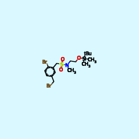 CN(CCO[Si](C)(C)C(C)(C)C)S(=O)(=O)Cc1cc(CBr)ccc1Br